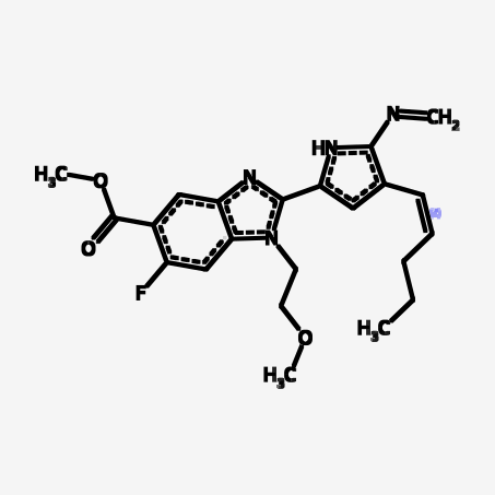 C=Nc1[nH]c(-c2nc3cc(C(=O)OC)c(F)cc3n2CCOC)cc1/C=C\CCC